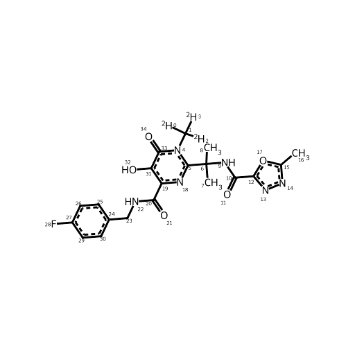 [2H]C([2H])([2H])n1c(C(C)(C)NC(=O)c2nnc(C)o2)nc(C(=O)NCc2ccc(F)cc2)c(O)c1=O